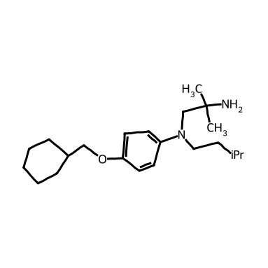 CC(C)CCN(CC(C)(C)N)c1ccc(OCC2CCCCC2)cc1